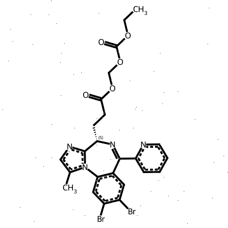 CCOC(=O)OCOC(=O)CC[C@@H]1N=C(c2ccccn2)c2cc(Br)c(Br)cc2-n2c(C)cnc21